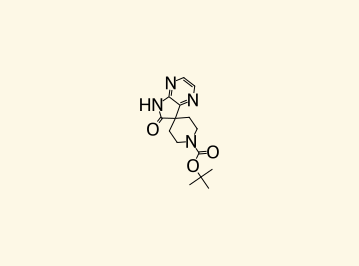 CC(C)(C)OC(=O)N1CCC2(CC1)C(=O)Nc1nccnc12